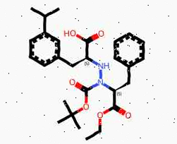 CCOC(=O)[C@H](Cc1ccccc1)N(N[C@@H](Cc1cccc(C(C)C)c1)C(=O)O)C(=O)OC(C)(C)C